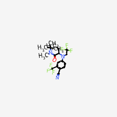 CCC(C(=O)N(C)C(C)(C)C)N(CC(F)(F)F)c1ccc(C#N)c(C(F)(F)F)c1